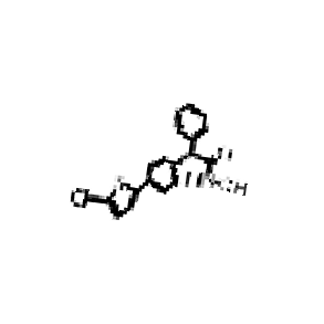 O=C(NO)C(c1ccccc1)c1ccc(-c2ccc(Cl)s2)cc1